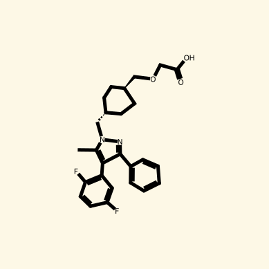 Cc1c(-c2cc(F)ccc2F)c(-c2ccccc2)nn1C[C@H]1CC[C@H](COCC(=O)O)CC1